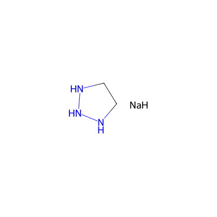 C1CNNN1.[NaH]